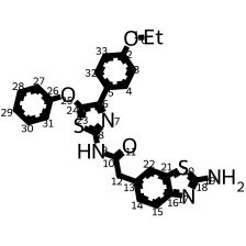 CCOc1ccc(-c2nc(NC(=O)Cc3ccc4nc(N)sc4c3)sc2Oc2ccccc2)cc1